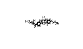 Cn1c(Nc2nc3ccc(OCCO)cc3o2)nc2cc(C(=O)NOCCO)ccc21